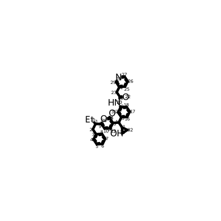 CCC(Cc1ccccc1)c1cc(O)c(C(c2cccc(NC(=O)Cc3cccnc3)c2)C2CC2)c(=O)o1